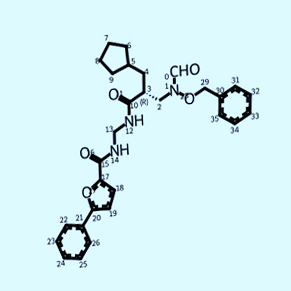 O=CN(C[C@@H](CC1CCCC1)C(=O)NCNC(=O)c1ccc(-c2ccccc2)o1)OCc1ccccc1